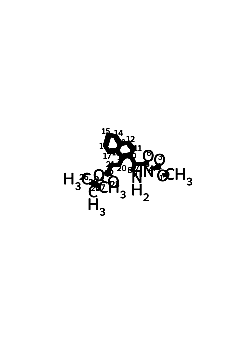 COC(=O)NC(=O)C(CN)c1ccc2ccccc2c1CCC(=O)OC(C)(C)C